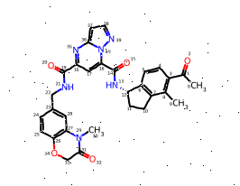 CC(=O)c1ccc2c(c1C)CC[C@@H]2NC(=O)c1cc(C(=O)NCc2ccc3c(c2)N(C)C(=O)CO3)nc2ccnn12